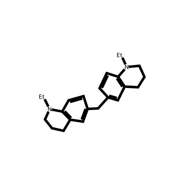 CCN1CCCc2cc(Cc3ccc4c(c3)CCCN4CC)ccc21